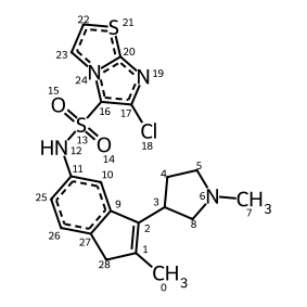 CC1=C(C2CCN(C)C2)c2cc(NS(=O)(=O)c3c(Cl)nc4sccn34)ccc2C1